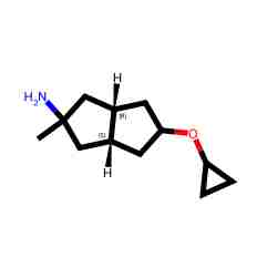 CC1(N)C[C@H]2CC(OC3CC3)C[C@H]2C1